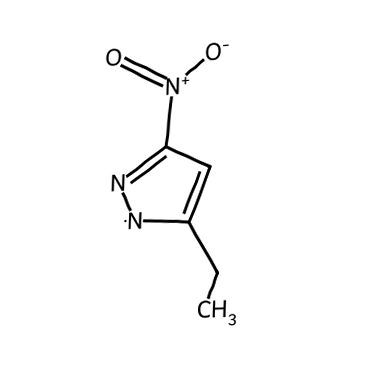 CCC1=CC([N+](=O)[O-])=N[N]1